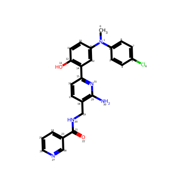 CN(c1ccc(Cl)cc1)c1ccc(O)c(-c2ccc(CNC(=O)c3cccnc3)c(N)n2)c1